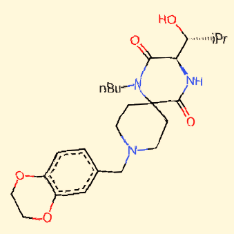 CCCCN1C(=O)[C@@H]([C@H](O)C(C)C)NC(=O)C12CCN(Cc1ccc3c(c1)OCCO3)CC2